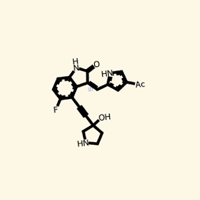 CC(=O)c1c[nH]c(/C=C2\C(=O)Nc3ccc(F)c(C#CC4(O)CCNC4)c32)c1